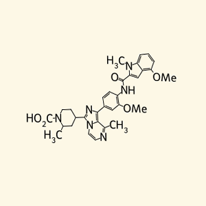 COc1cc(-c2nc(C3CCN(C(=O)O)C(C)C3)n3ccnc(C)c23)ccc1NC(=O)c1cc2c(OC)cccc2n1C